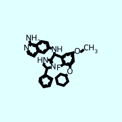 CCOc1cc(OC2CCCCC2)c(F)c(C(Nc2ccc3c(N)nccc3c2)C2=NC(c3ccccc3)CN2)c1